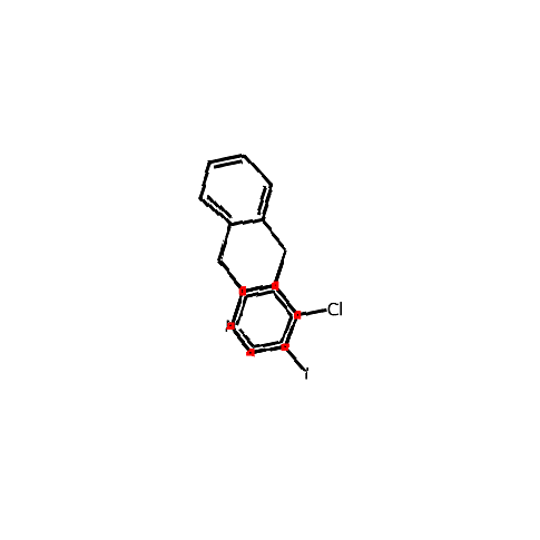 Clc1c(I)cnc2c1C1c3ccccc3C2c2ccccc21